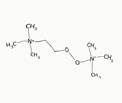 C[N+](C)(C)CCOO[N+](C)(C)C